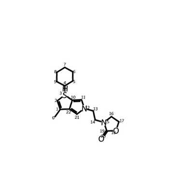 CC1=C[SH](C2CCCCC2)c2cn(CCN3CCOC3=O)cc21